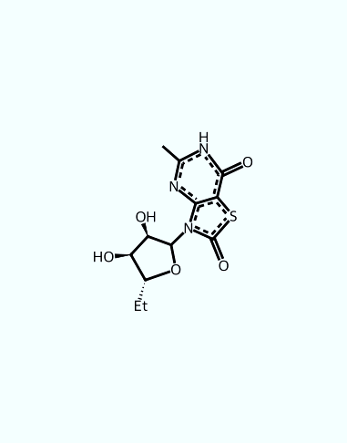 CC[C@H]1OC(n2c(=O)sc3c(=O)[nH]c(C)nc32)[C@H](O)[C@@H]1O